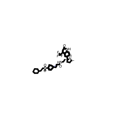 C[C@@H]1CC[C@@](CCNC(=O)/C=C/c2ccc(S(=O)(=O)CCC3CCCCC3)cc2)(c2ccc3[nH]c(=O)cc(C(F)(F)F)c3c2)N1